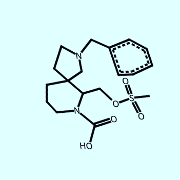 CS(=O)(=O)OCC1N(C(=O)O)CCCC12CCN(Cc1ccccc1)C2